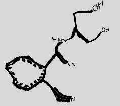 N#Cc1c[c]ccc1C(=O)NC(CO)CO